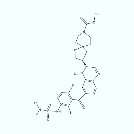 CCN(C)S(=O)(=O)Nc1ccc(F)c(C(=O)c2ccc3ncn([C@H]4COC5(CCN(C(=O)OC(C)(C)C)CC5)C4)c(=O)c3c2)c1F